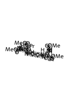 COC(=O)N[C@H](C(=O)N1C[C@@H](n2cc(C(=O)OC)nn2)CC1c1ncc(-c2ccc(-c3ccc(-c4cnc([C@@H]5C[C@H](n6cc(C(=O)OC)nn6)CN5C(=O)[C@@H](NC(=O)OC)C(C)C)[nH]4)cc3)cc2)[nH]1)C(C)C